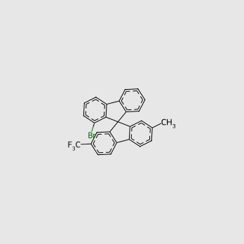 Cc1ccc2c(c1)C1(c3cc(C(F)(F)F)ccc3-2)c2ccccc2-c2cccc(Br)c21